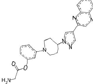 NCC(=O)Oc1cccc(N2CCC(n3cc(-c4cnc5ccccc5n4)cn3)CC2)c1